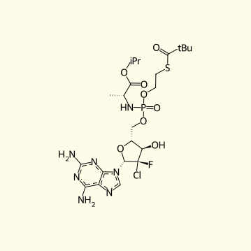 CC(C)OC(=O)[C@@H](C)NP(=O)(OCCSC(=O)C(C)(C)C)OC[C@H]1O[C@@H](n2cnc3c(N)nc(N)nc32)[C@@](F)(Cl)[C@@H]1O